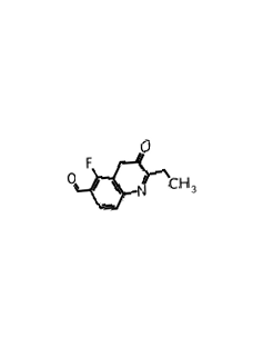 CCC1=Nc2ccc(C=O)c(F)c2CC1=O